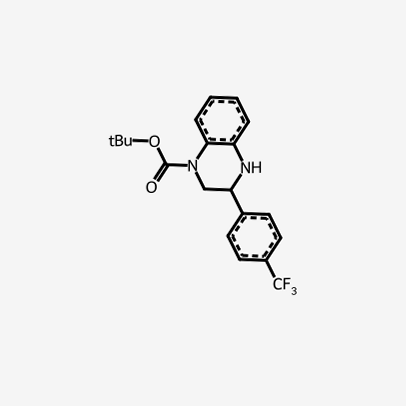 CC(C)(C)OC(=O)N1CC(c2ccc(C(F)(F)F)cc2)Nc2ccccc21